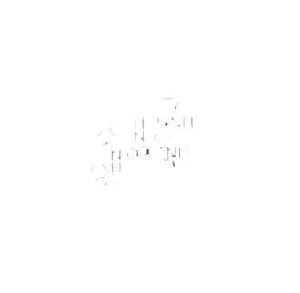 CCS(=O)(=O)Nc1cc(C(=O)N[C@@H](Cc2ccccc2)[C@@H](O)CNCc2cccc(OC)c2)cc(C(=O)N[C@H](C)c2ccccc2)c1